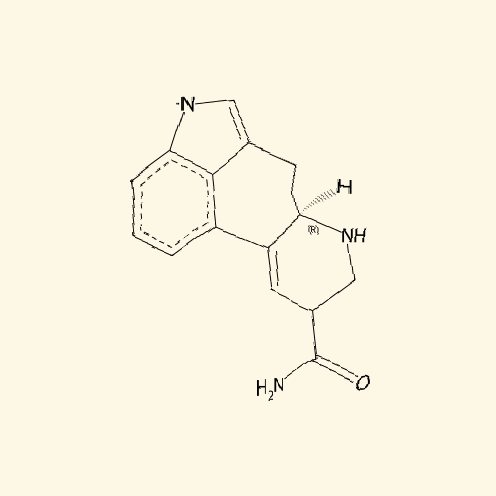 NC(=O)C1C=C2c3cccc4c3C(=C[N]4)C[C@H]2NC1